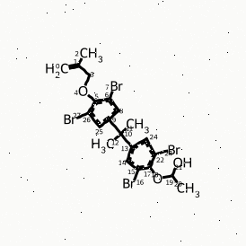 C=C(C)COc1c(Br)cc(C(C)(C)c2cc(Br)c(OC(C)O)c(Br)c2)cc1Br